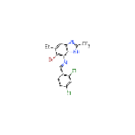 CCc1cc2nc(C(F)(F)F)[nH]c2c(N=Cc2ccc(Cl)cc2Cl)c1Br